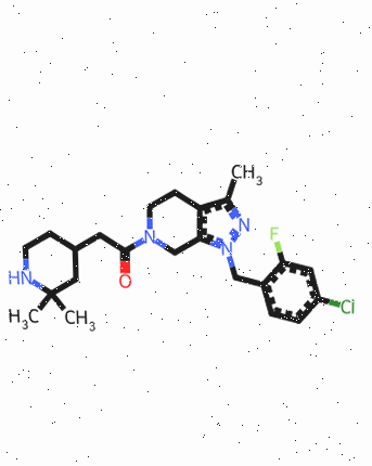 Cc1nn(Cc2ccc(Cl)cc2F)c2c1CCN(C(=O)CC1CCNC(C)(C)C1)C2